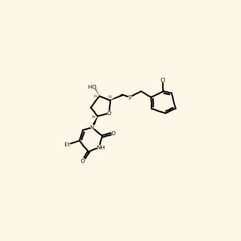 CCc1cn([C@H]2C[C@H](O)[C@@H](CSCc3ccccc3Cl)O2)c(=O)[nH]c1=O